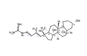 CC(/C=N/NC(=N)N)=C\[C@@]1(O)CC[C@]2(O)[C@@H]3CC[C@@H]4C[C@@H](O)CC[C@]4(C)[C@H]3CC[C@]12C